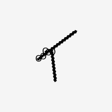 CCCCCCCCCCCCCCCCCCCC(COC(=O)CCOCCOC)OCCCCCCCCCCCCCCCCCC